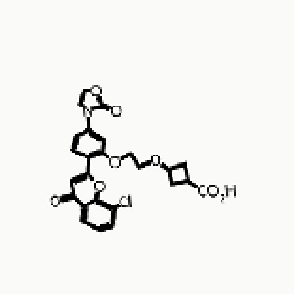 O=C(O)C1CC(OCCOc2cc(N3CCOC3=O)ccc2-c2cc(=O)c3cccc(Cl)c3o2)C1